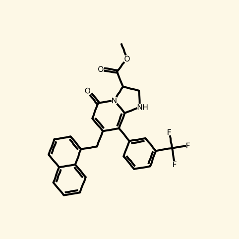 COC(=O)C1CNc2c(-c3cccc(C(F)(F)F)c3)c(Cc3cccc4ccccc34)cc(=O)n21